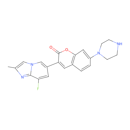 Cc1cn2cc(-c3cc4ccc(N5CCNCC5)cc4oc3=O)cc(F)c2n1